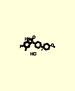 CO[C@H]1CC[C@](C)(N2CCC(n3c(=O)[nH]c4cc(F)c(C)cc43)CC2)CC1.Cl